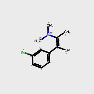 CC(=C(C#N)c1cccc(Br)c1)N(C)C